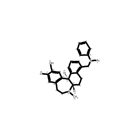 CC(=O)N(Cc1cccc2c1CC[C@H]1[C@H]2c2cc(O)c(Cl)cc2CCN1C)c1ccccc1